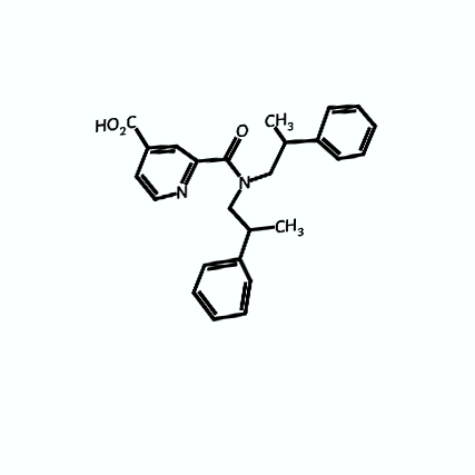 CC(CN(CC(C)c1ccccc1)C(=O)c1cc(C(=O)O)ccn1)c1ccccc1